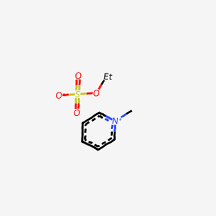 CCOS(=O)(=O)[O-].C[n+]1ccccc1